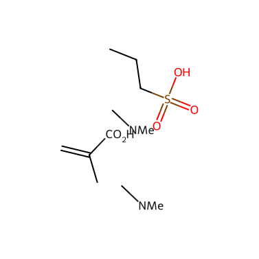 C=C(C)C(=O)O.CCCS(=O)(=O)O.CNC.CNC